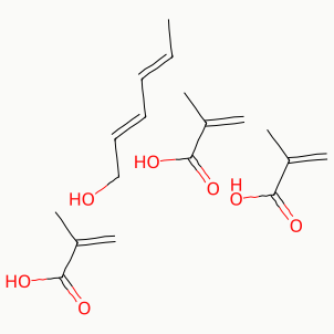 C/C=C/C=C/CO.C=C(C)C(=O)O.C=C(C)C(=O)O.C=C(C)C(=O)O